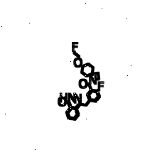 O=C(c1cc(Cc2n[nH]c(=O)c3ccccc23)ccc1F)N1CCC12CCC(OCCF)CC2